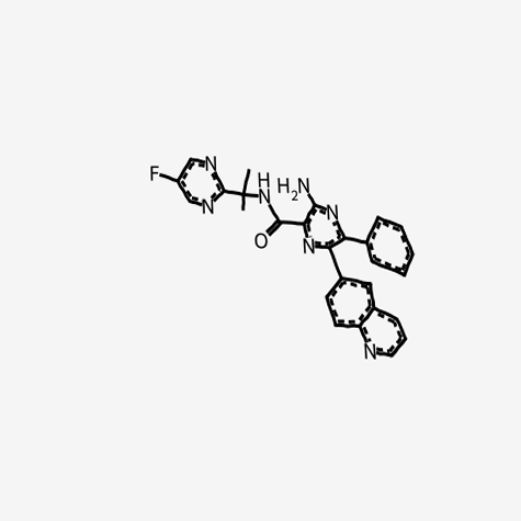 CC(C)(NC(=O)c1nc(-c2ccc3ncccc3c2)c(-c2ccccc2)nc1N)c1ncc(F)cn1